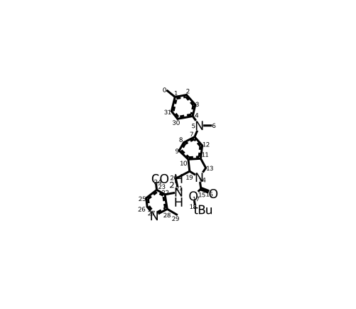 Cc1ccc(N(C)c2ccc3c(c2)CN(C(=O)OC(C)(C)C)C3CNc2c(C(=O)O)ccnc2C)cc1